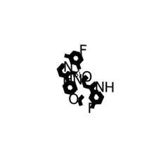 Cc1cc(F)cc(C[C@H](NC(=O)Cc2c[nH]c3ccc(F)cc23)c2ncccc2-c2ccc(OC(C)C)cc2)c1